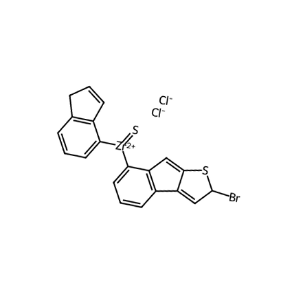 [Cl-].[Cl-].[S]=[Zr+2]([c]1cccc2c1C=CC2)[c]1cccc2c1C=C1SC(Br)C=C12